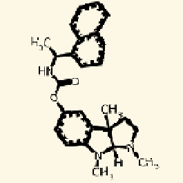 CC(NC(=O)Oc1ccc2c(c1)[C@]1(C)CCN(C)[C@@H]1N2C)c1cccc2ccccc12